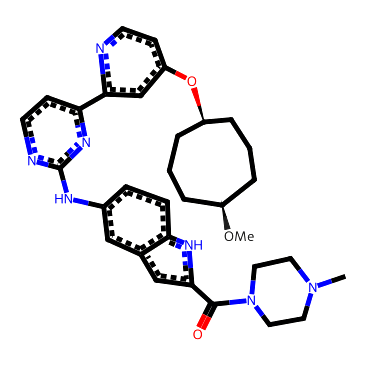 CO[C@H]1CCC[C@@H](Oc2ccnc(-c3ccnc(Nc4ccc5[nH]c(C(=O)N6CCN(C)CC6)cc5c4)n3)c2)CCC1